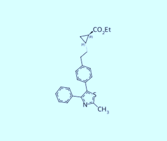 CCOC(=O)[C@@H]1C[C@H]1CCc1ccc(-c2sc(C)nc2-c2ccccc2)cc1